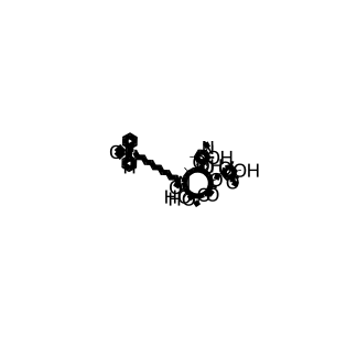 CC[C@H]1OC(=O)[C@H](C)[C@@H](OC[C@H]2C[C@@](C)(OC)[C@@H](O)[C@H](C)O2)C[C@@H](O[C@@H]2O[C@H](C)C[C@H](N(C)C)[C@H]2O)[C@](C)(O)C[C@@H](C)CN(C(=O)CCCCCCCCCCC[PH](c2ccccc2)(c2ccccc2)C2COC2)[C@H](C)[C@@H](O)[C@]1(C)O